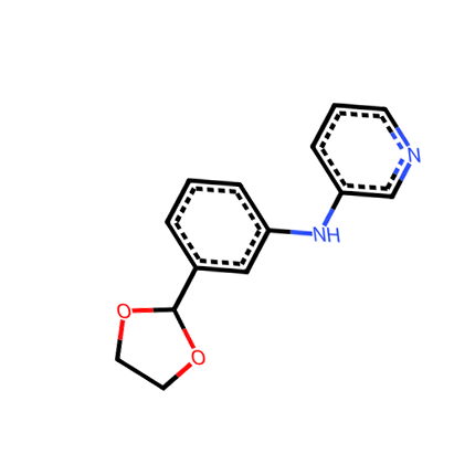 c1cncc(Nc2cccc(C3OCCO3)c2)c1